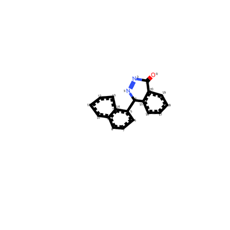 O=C1N=NC(c2cccc3ccccc23)c2ccccc21